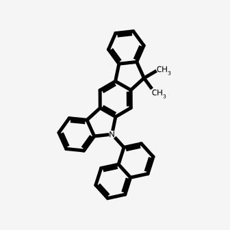 CC1(C)c2ccccc2-c2cc3c4ccccc4n(-c4cccc5ccccc45)c3cc21